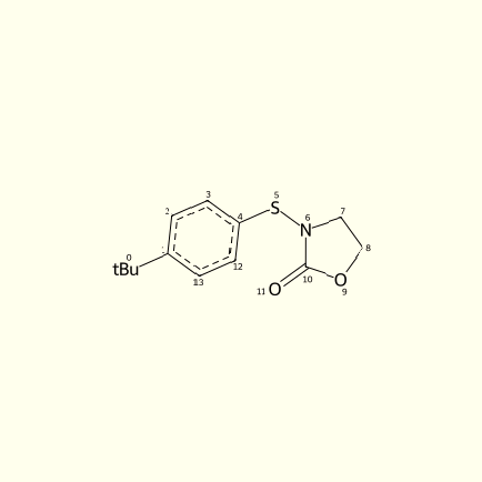 CC(C)(C)c1ccc(SN2CCOC2=O)cc1